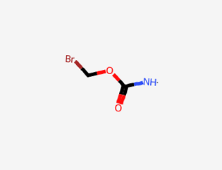 [NH]C(=O)OCBr